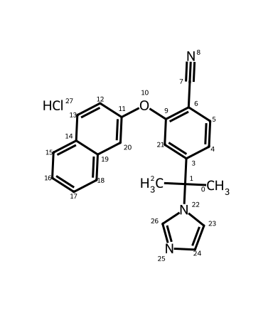 CC(C)(c1ccc(C#N)c(Oc2ccc3ccccc3c2)c1)n1ccnc1.Cl